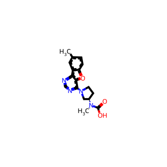 Cc1ccc2oc3c(N4CC[C@H](N(C)C(=O)O)C4)ncnc3c2c1